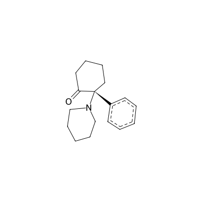 O=C1CCCC[C@]1(c1ccccc1)N1CCCCC1